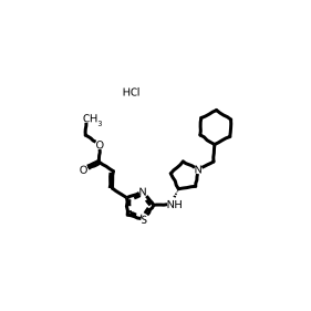 CCOC(=O)C=Cc1csc(N[C@@H]2CCN(CC3CCCCC3)C2)n1.Cl